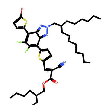 CCCCCCCCC(CCCCCC)Cn1nc2c(-c3ccc(Br)s3)c(F)c(F)c(-c3ccc(/C=C(\C#N)C(=O)OCC(CC)CCCC)s3)c2n1